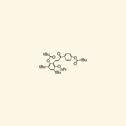 CCCOc1c(C(C)(C)C)cc(C(C)(C)C)c(OC(=O)C(C)(C)C)c1C=CC(=O)c1ccc(OC(=O)C(C)(C)C)cc1